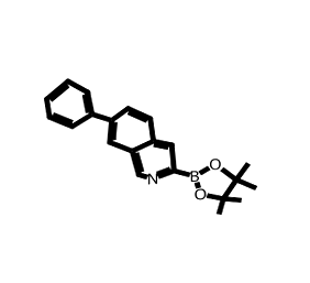 CC1(C)OB(c2cc3ccc(-c4ccccc4)cc3cn2)OC1(C)C